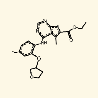 CCOC(=O)c1sc2ncnc(Nc3ccc(F)cc3OC3CCOC3)c2c1C